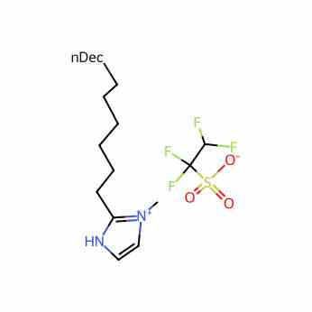 CCCCCCCCCCCCCCCCc1[nH]cc[n+]1C.O=S(=O)([O-])C(F)(F)C(F)F